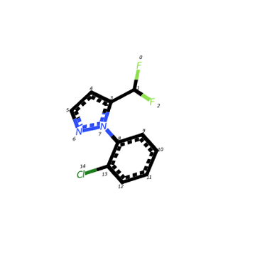 FC(F)c1[c]cnn1-c1ccccc1Cl